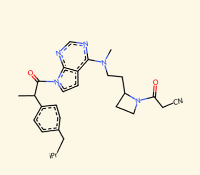 CC(C)Cc1ccc(C(C)C(=O)n2ccc3c(N(C)CCC4CCN4C(=O)CC#N)ncnc32)cc1